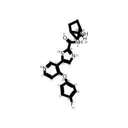 O=C(N[C@@H]1C2CCC1NC2)c1ncc(-c2cnccc2Oc2ccc(F)cc2)s1